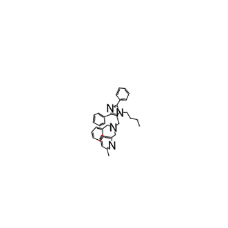 CCCCn1c(-c2ccccc2)nc(-c2ccccc2)c1CN(Cc1ccccc1)Cc1cccc(C)n1